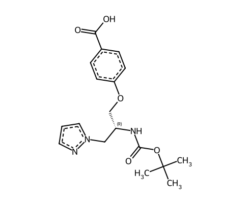 CC(C)(C)OC(=O)N[C@@H](COc1ccc(C(=O)O)cc1)Cn1cccn1